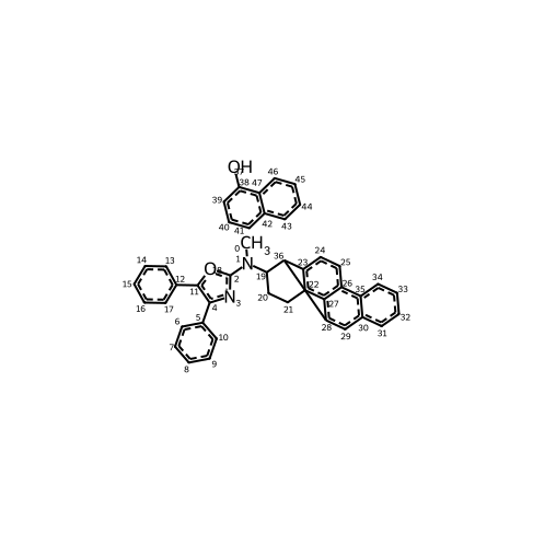 CN(c1nc(-c2ccccc2)c(-c2ccccc2)o1)C1CCc2c3ccc4c2c(cc2ccccc24)C31.Oc1cccc2ccccc12